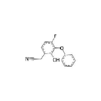 N#CCc1ccc(F)c(Oc2ccccc2)c1O